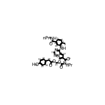 CCCNC(=O)c1ccc(C)c(Nc2ncnn3cc(C(=O)N(CCC)C(=O)OCOC(=O)Cc4ccc(O)cc4)cc23)c1